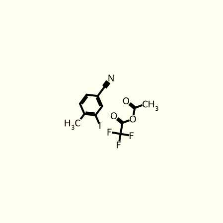 CC(=O)OC(=O)C(F)(F)F.Cc1ccc(C#N)cc1I